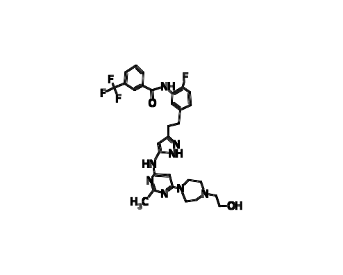 Cc1nc(Nc2cc(CCc3ccc(F)c(NC(=O)c4cccc(C(F)(F)F)c4)c3)n[nH]2)cc(N2CCN(CCO)CC2)n1